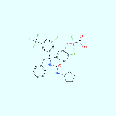 O=C(NC1CCCC1)NC(Cc1ccccc1)(c1cc(F)cc(C(F)(F)F)c1)c1ccc(F)c(OC(F)(F)C(=O)O)c1